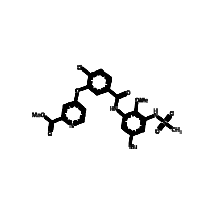 COC(=O)c1cc(Oc2cc(C(=O)Nc3cc(C(C)(C)C)cc(NS(C)(=O)=O)c3OC)ccc2Cl)ccn1